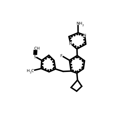 C#Sc1ccc(Cc2c(C3CCC3)ccc(-c3cnc(N)cn3)c2F)cc1C